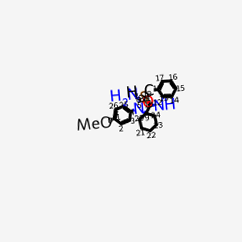 COc1ccc(N(C(N)=S)C2(C(=O)Nc3ccccc3C)CCCCC2)cc1